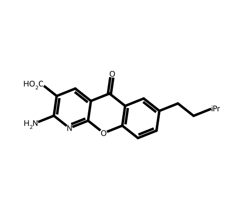 CC(C)CCc1ccc2oc3nc(N)c(C(=O)O)cc3c(=O)c2c1